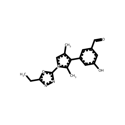 CCc1nnc(-n2cc(C)c(-c3cc(O)cc(C=O)c3)c2C)o1